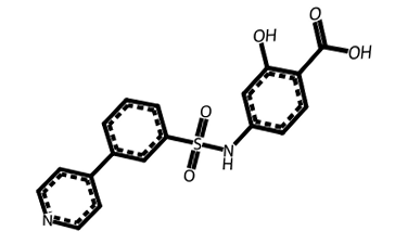 O=C(O)c1ccc(NS(=O)(=O)c2cccc(-c3ccncc3)c2)cc1O